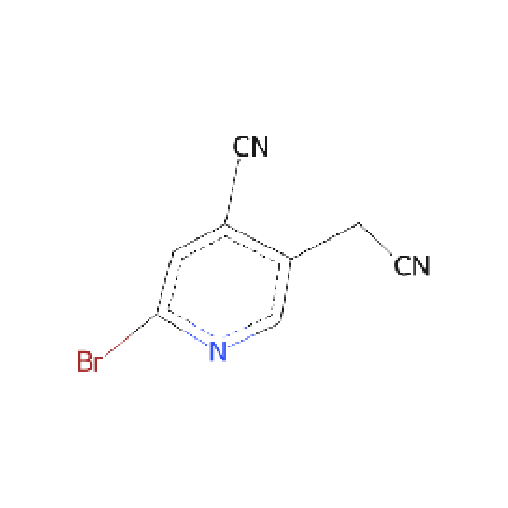 N#CCc1cnc(Br)cc1C#N